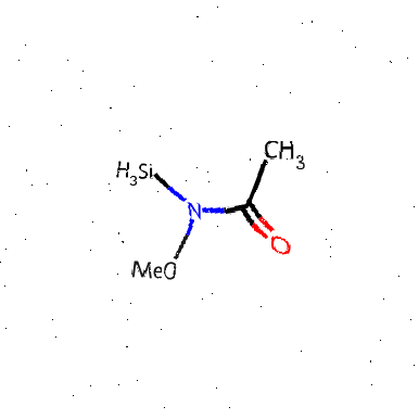 CON([SiH3])C(C)=O